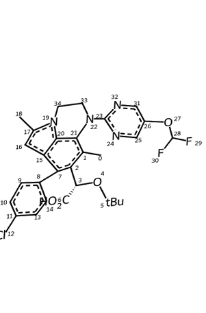 Cc1c([C@H](OC(C)(C)C)C(=O)O)c(-c2ccc(Cl)cc2)c2cc(C)n3c2c1N(c1ncc(OC(F)F)cn1)CC3